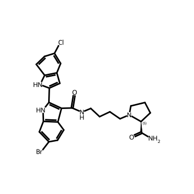 NC(=O)[C@@H]1CCCN1CCCCNC(=O)c1c(-c2cc3cc(Cl)ccc3[nH]2)[nH]c2cc(Br)ccc12